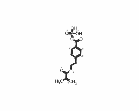 C=C(C)C(=O)OCCc1ccc(C(=O)OP(=O)(O)O)cc1